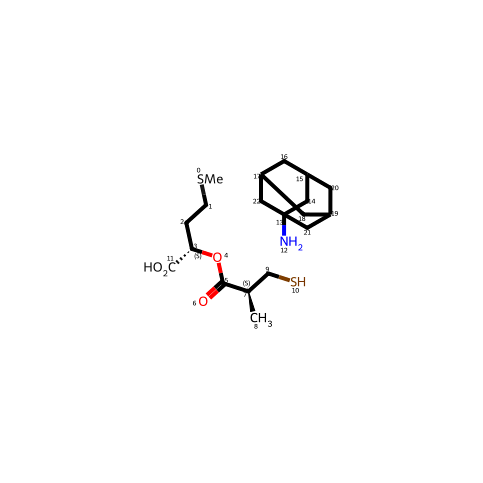 CSCC[C@H](OC(=O)[C@H](C)CS)C(=O)O.NC12CC3CC(CC(C3)C1)C2